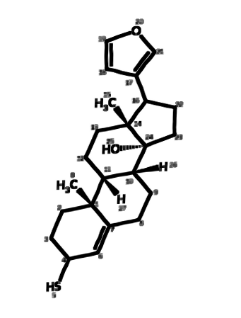 C[C@]12CCC(S)C=C1CC[C@@H]1[C@H]2CC[C@]2(C)C(c3ccoc3)CC[C@@]12O